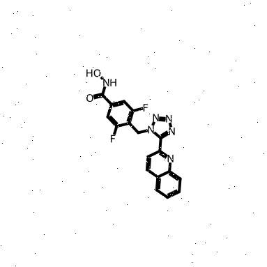 O=C(NO)c1cc(F)c(Cn2nnnc2-c2ccc3ccccc3n2)c(F)c1